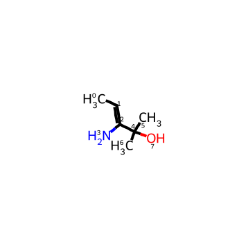 C/C=C(\N)C(C)(C)O